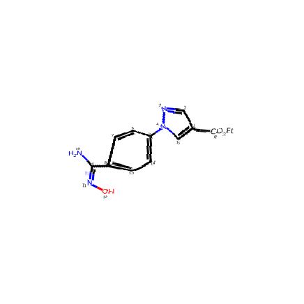 CCOC(=O)c1cnn(-c2ccc(/C(N)=N\O)cc2)c1